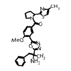 COc1ccc(C(=O)N2CCCC2c2nc(C)cs2)cc1-c1nnc(C(C)(N)Cc2ccccc2)o1